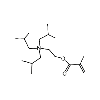 C=C(C)C(=O)OCC[N+](CC(C)C)(CC(C)C)CC(C)C